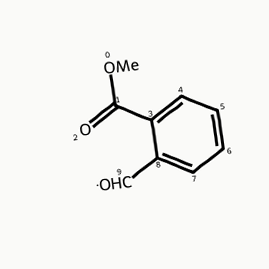 [CH2]OC(=O)c1ccccc1[C]=O